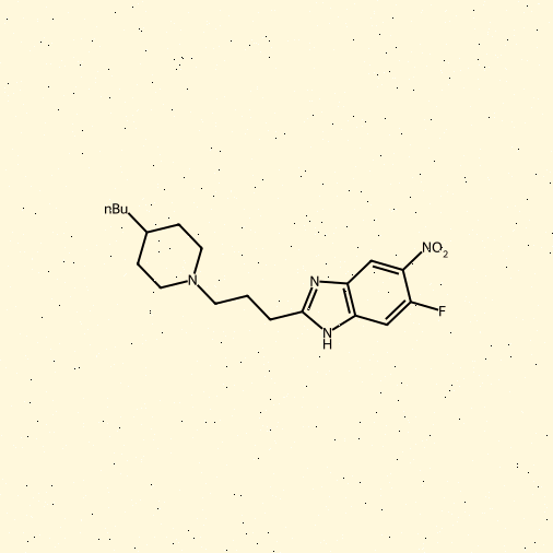 CCCCC1CCN(CCCc2nc3cc([N+](=O)[O-])c(F)cc3[nH]2)CC1